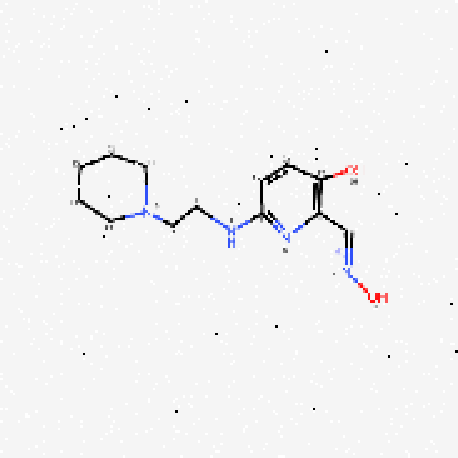 O/N=C/c1nc(NCCN2CCCCC2)ccc1O